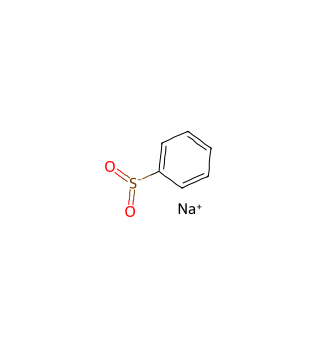 O=[S-](=O)c1ccccc1.[Na+]